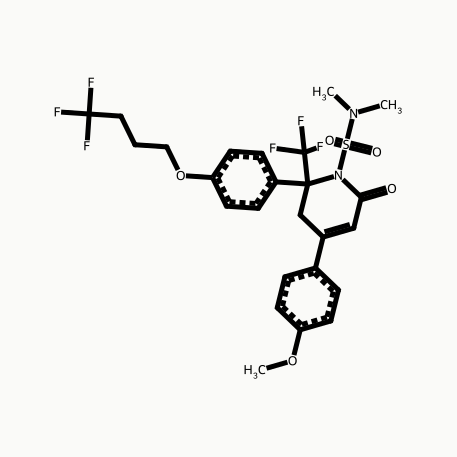 COc1ccc(C2=CC(=O)N(S(=O)(=O)N(C)C)C(c3ccc(OCCCC(F)(F)F)cc3)(C(F)(F)F)C2)cc1